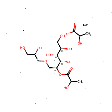 CC(O)C(=O)O[C@@H](COCC(O)CO)[C@@H](O)[C@H](O)[C@H](O)CO.CC(O)C(=O)[O-].[Na+]